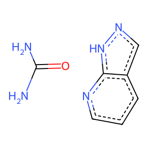 NC(N)=O.c1cnc2[nH]ncc2c1